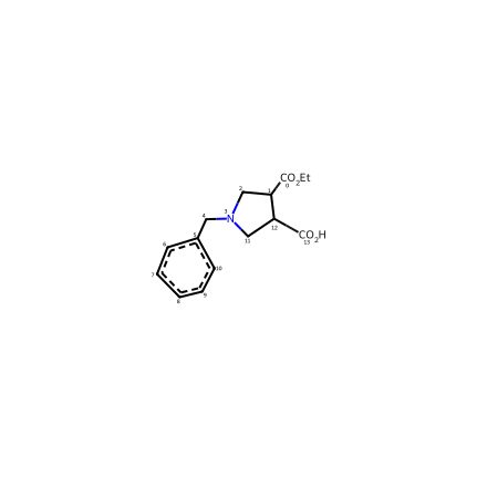 CCOC(=O)C1CN(Cc2ccccc2)CC1C(=O)O